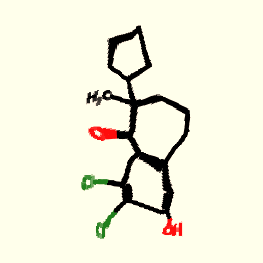 CC1(C2CCCC2)CCCc2cc(O)c(Cl)c(Cl)c2C1=O